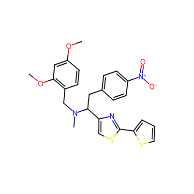 COc1ccc(CN(C)C(Cc2ccc([N+](=O)[O-])cc2)c2csc(-c3cccs3)n2)c(OC)c1